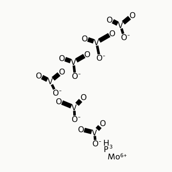 P.[Mo+6].[O]=[V](=[O])[O-].[O]=[V](=[O])[O-].[O]=[V](=[O])[O-].[O]=[V](=[O])[O-].[O]=[V](=[O])[O-].[O]=[V](=[O])[O-]